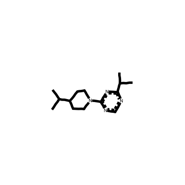 CC(C)c1ncnc(N2CCC(C(C)C)CC2)n1